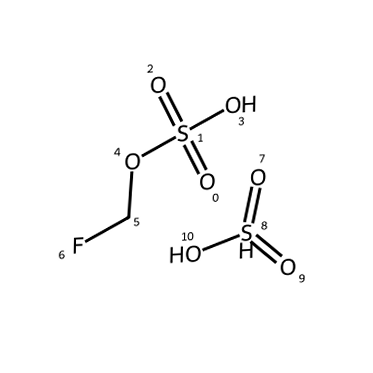 O=S(=O)(O)OCF.O=[SH](=O)O